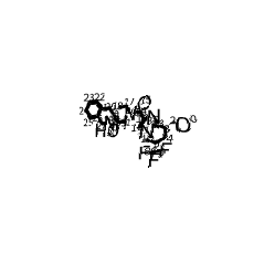 COC[C@@H]1C[C@H](C(F)(F)F)Cn2cc(C(=O)N3CC[C@]4(Cc5ccccc5CN4)[C@H](O)C3)nc21